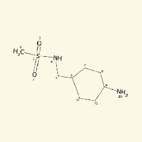 CS(=O)(=O)NCC1CCC(N)CC1